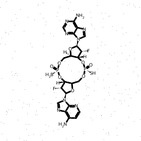 B[P@]1(=O)OC[C@H]2O[C@@H](n3cnc4c(N)ncnc43)[C@H](F)[C@@H]2O[P@](=O)(S)OCC2O[C@@H](n3cnc4c(N)ccnc43)[C@H](F)[C@@H]2O1